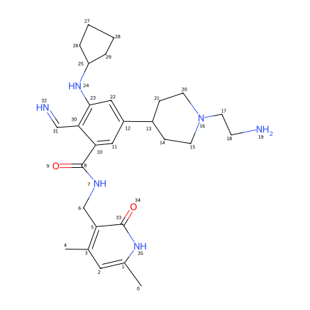 Cc1cc(C)c(CNC(=O)c2cc(C3CCN(CCN)CC3)cc(NC3CCCC3)c2C=N)c(=O)[nH]1